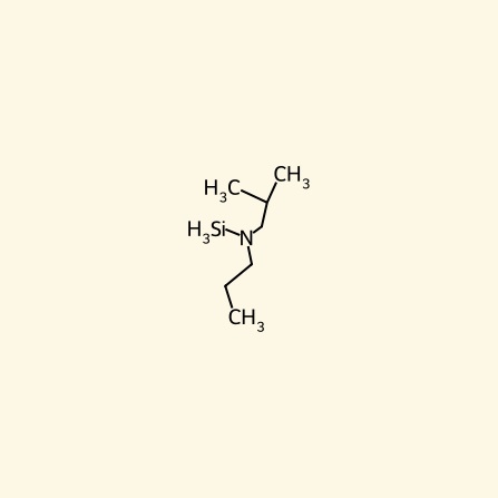 CCCN([SiH3])CC(C)C